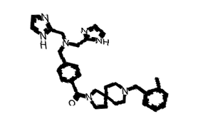 Cc1ccccc1CN1CCC2(CC1)CCN(C(=O)c1ccc(CN(Cc3ncc[nH]3)Cc3ncc[nH]3)cc1)C2